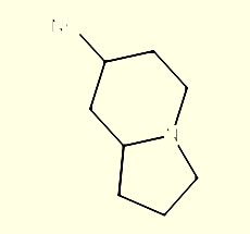 N#CC1CCN2CCCC2C1